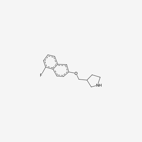 Fc1cccc2cc(OCC3CCNC3)ccc12